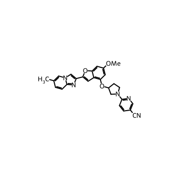 COc1cc(OC2CCN(c3ccc(C#N)cn3)C2)c2cc(-c3cn4cc(C)ccc4n3)oc2c1